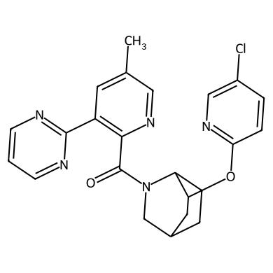 Cc1cnc(C(=O)N2CC3CCC2C(Oc2ccc(Cl)cn2)C3)c(-c2ncccn2)c1